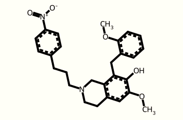 COc1ccccc1Cc1c(O)c(OC)cc2c1CN(CCCc1ccc([N+](=O)[O-])cc1)CC2